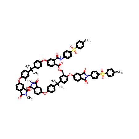 Cc1ccc(S(=O)(=O)c2ccc(NC(=O)c3cc(Oc4ccc(C(C)(C)c5ccc(Oc6ccc7c(c6)C(=O)N(C)C7=O)cc5)cc4)ccc3C(=O)OCc3cc(C(C)(C)c4ccc(Oc5ccc6c(c5)C(=O)N(C)C6=O)cc4)ccc3Oc3ccc4c(c3)C(=O)N(c3ccc(S(=O)(=O)c5ccc(C)cc5)cc3)C4=O)cc2)cc1